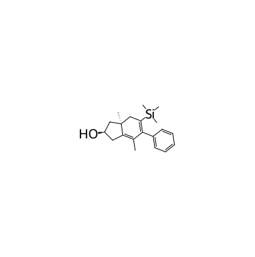 CC1=C2C[C@@H](O)C[C@@]2(C)CC([Si](C)(C)C)=C1c1ccccc1